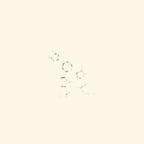 Cc1noc2c1-c1ccc(-c3cnn(C)c3)cc1C(=O)N(C(=O)OC(C)(C)C)C2CC(=O)OC(C)(C)C